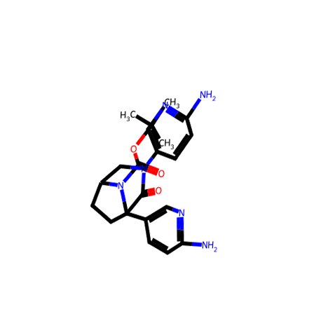 CC(C)(C)OC(=O)N1C2CCC1(c1ccc(N)nc1)C(=O)N(c1ccc(N)nc1)C2